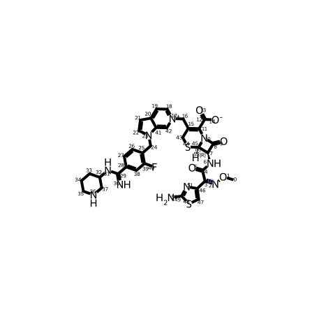 CO/N=C(\C(=O)N[C@@H]1C(=O)N2C(C(=O)[O-])=C(C[n+]3ccc4ccn(Cc5ccc(C(=N)NC6CCCNC6)cc5F)c4c3)CS[C@H]12)c1csc(N)n1